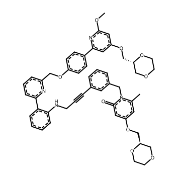 COc1cc(OC[C@H]2COCCO2)cc(-c2ccc(OCc3cccc(-c4ccccc4NCC#Cc4cccc(Cn5c(C)cc(OC[C@H]6COCCO6)cc5=O)c4)n3)cc2)n1